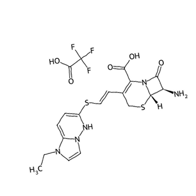 CCN1C=CN2NC(S/C=C/C3=C(C(=O)O)N4C(=O)[C@@H](N)[C@@H]4SC3)=CC=C12.O=C(O)C(F)(F)F